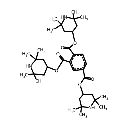 CC1(C)CC(OC(=O)c2ccc(C(=O)OC3CC(C)(C)NC(C)(C)C3)c(C(=O)OC3CC(C)(C)NC(C)(C)C3)c2)CC(C)(C)N1